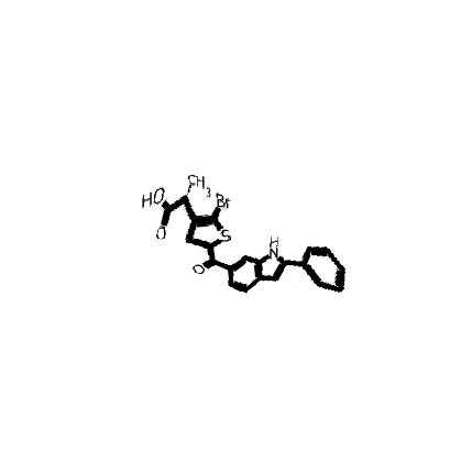 C[C@@H](C(=O)O)c1cc(C(=O)c2ccc3cc(-c4ccccc4)[nH]c3c2)sc1Br